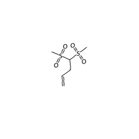 C=CCC(S(C)(=O)=O)S(C)(=O)=O